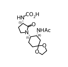 CC(=O)N[C@@H]1CC2(CC[C@@H]1N1CC[C@H](NC(=O)O)C1=O)OCCO2